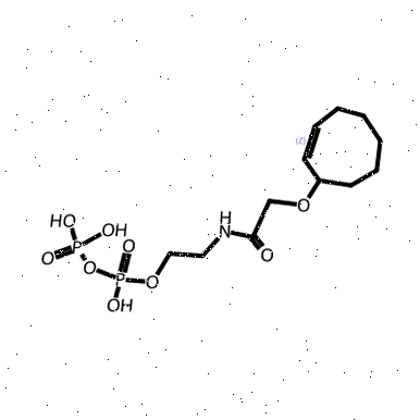 O=C(COC1/C=C\CCCCC1)NCCOP(=O)(O)OP(=O)(O)O